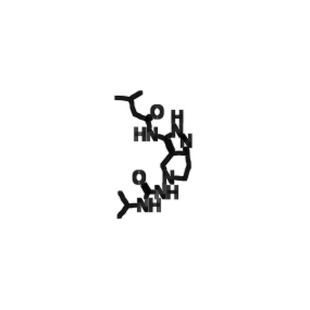 CC(C)CC(=O)Nc1[nH]nc2c1CN(NC(=O)NC(C)C)CC2